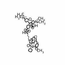 CCN(CC)c1ccc2c(-c3ccc(S(=O)(=O)NCCCC[C@H](CNC(=O)Nc4ccccc4)N(C)C[C@H]4CCCN4CCc4ccc(OC)cc4)cc3S(=O)(=O)O)c3ccc(=[N+](CC)CC)cc-3oc2c1